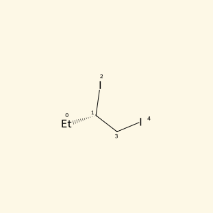 CC[C@H](I)CI